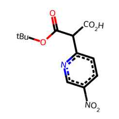 CC(C)(C)OC(=O)C(C(=O)O)c1ccc([N+](=O)[O-])cn1